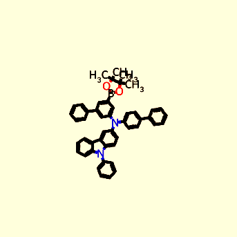 CC1(C)OB(c2cc(-c3ccccc3)cc(N(c3ccc(-c4ccccc4)cc3)c3ccc4c(c3)c3ccccc3n4-c3ccccc3)c2)OC1(C)C